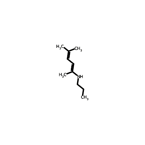 CCCN/C(C)=C/C=C(C)C